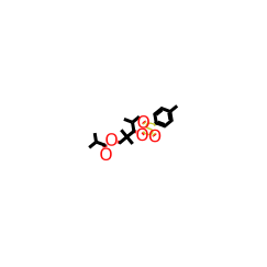 Cc1ccc(S(=O)(=O)OC(C(C)C)C(C)(C)COC(=O)C(C)C)cc1